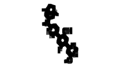 COc1cc(-c2cc(O)c(-c3ccc(N(C)[C@H]4C[C@]5(C)CC[C@](C)(C4)C5)nn3)cc2F)ncn1